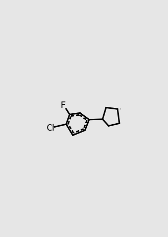 Fc1cc(C2C[CH]CC2)ccc1Cl